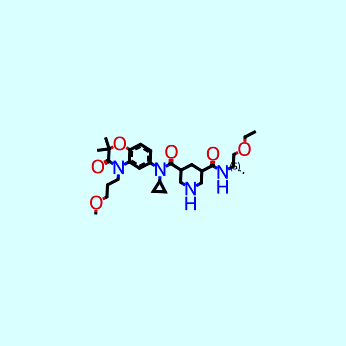 CCOC[C@H](C)NC(=O)C1CNCC(C(=O)N(c2ccc3c(c2)N(CCCOC)C(=O)C(C)(C)O3)C2CC2)C1